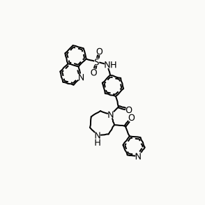 O=C(c1ccncc1)C1CNCCCN1C(=O)c1ccc(NS(=O)(=O)c2cccc3cccnc23)cc1